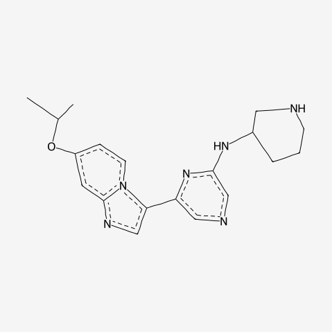 CC(C)Oc1ccn2c(-c3cncc(NC4CCCNC4)n3)cnc2c1